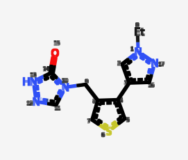 CCn1cc(-c2cscc2Cn2cn[nH]c2=O)cn1